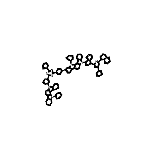 c1ccc(-c2cc(-c3cccc4ccccc34)nc(-c3ccc(-n4c5ccccc5c5c4ccc4c6ccc(-c7ccc(-c8nc(-c9ccccc9)nc(-c9cccc(-n%10c%11ccccc%11c%11c%10ccc%10c%12ccccc%12n(-c%12ccccc%12)c%10%11)c9)n8)cc7)cc6n(-c6ccccc6)c45)c4ccccc34)c2)cc1